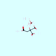 O=C(O)CC(OCO)(C(=O)O)C(=O)O